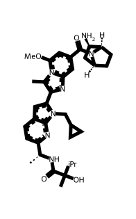 COc1cc(C(=O)N2[C@H]3CC[C@@H]2[C@H](N)C3)cc2nc(-c3cc4ccc([C@@H](C)NC(=O)C(C)(O)C(C)C)nc4n3CC3CC3)c(C)n12